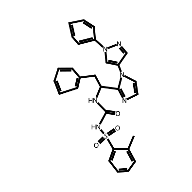 Cc1ccccc1S(=O)(=O)NC(=O)NC(Cc1ccccc1)c1nccn1-c1cnn(-c2ccccc2)c1